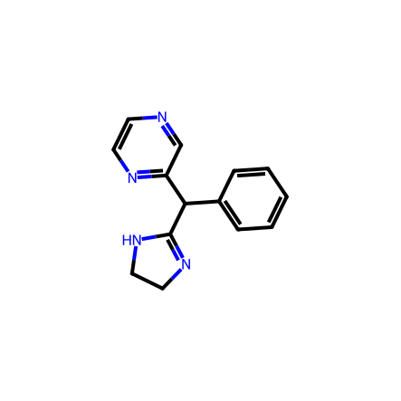 c1ccc(C(C2=NCCN2)c2cnccn2)cc1